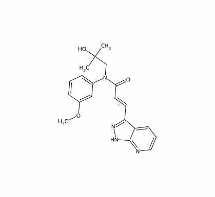 COc1cccc(N(CC(C)(C)O)C(=O)/C=C/c2n[nH]c3ncccc23)c1